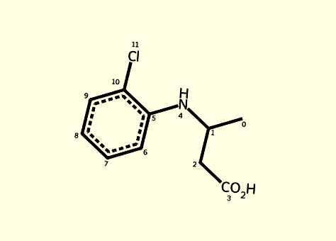 CC(CC(=O)O)Nc1ccccc1Cl